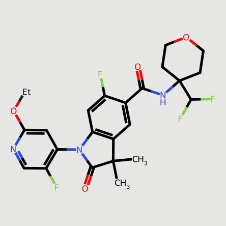 CCOc1cc(N2C(=O)C(C)(C)c3cc(C(=O)NC4(C(F)F)CCOCC4)c(F)cc32)c(F)cn1